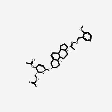 COc1ccccc1CO/N=C(\C)[C@H]1CCC2C3CC=C4C[C@@H](OC5C=C[C@H](OC(C)=O)[C@@H](COC(C)=O)O5)CC[C@]4(C)C3CC[C@@]21C